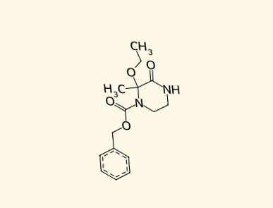 CCOC1(C)C(=O)NCCN1C(=O)OCc1ccccc1